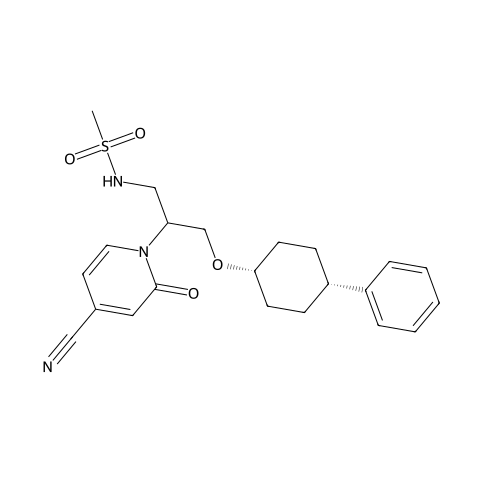 CS(=O)(=O)NCC(CO[C@H]1CC[C@@H](c2ccccc2)CC1)n1ccc(C#N)cc1=O